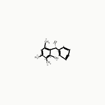 [CH2]C[C@H](c1ccccc1)c1c(C)cc(C)c(C)c1O